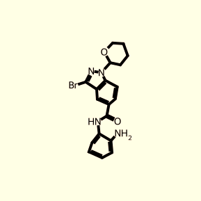 Nc1ccccc1NC(=O)c1ccc2c(c1)c(Br)nn2C1CCCCO1